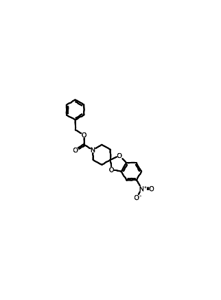 O=C(OCc1ccccc1)N1CCC2(CC1)Oc1ccc([N+](=O)[O-])cc1O2